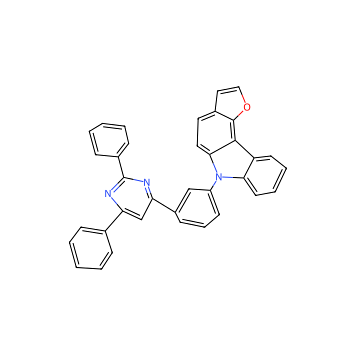 c1ccc(-c2cc(-c3cccc(-n4c5ccccc5c5c6occc6ccc54)c3)nc(-c3ccccc3)n2)cc1